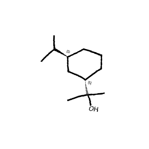 CC(C)[C@H]1CCC[C@H](C(C)(C)O)C1